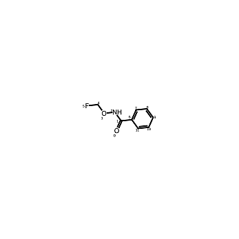 O=C(NOCF)c1ccccc1